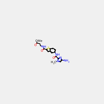 COC(=O)CCNC(=O)c1cc2cc(NC(=O)c3nc(N)cn3C)ccc2s1